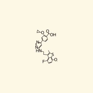 COc1ccc(F)c2c(CCNc3cc(-c4ccc(C(=O)O)c(OC5CC5)c4)ncn3)c(C)sc12